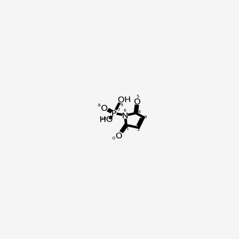 O=C1C=CC(=O)N1P(=O)(O)O